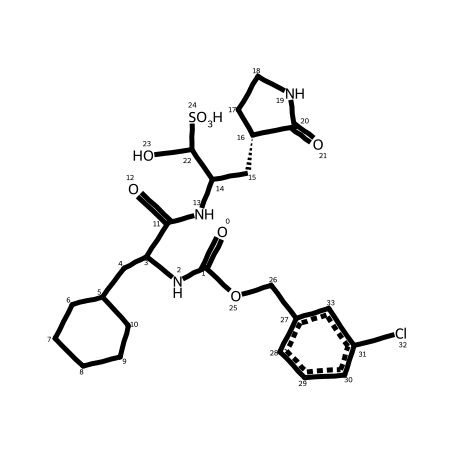 O=C(NC(CC1CCCCC1)C(=O)NC(C[C@@H]1CCNC1=O)C(O)S(=O)(=O)O)OCc1cccc(Cl)c1